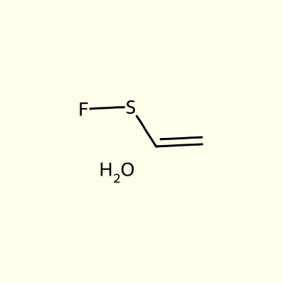 C=CSF.O